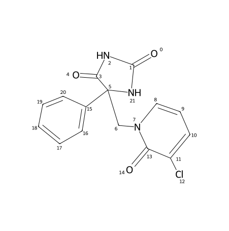 O=C1NC(=O)C(Cn2cccc(Cl)c2=O)(c2ccccc2)N1